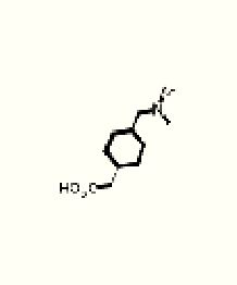 CC(=O)N(C)C[C@H]1CC[C@H](CC(=O)O)CC1